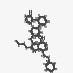 CCCCc1nc2c(SCc3ccccc3)nnc(O)c2n1Cc1ccc(-c2ccccc2-c2nnn[nH]2)cc1